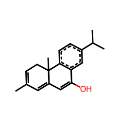 CC1=CCC2(C)C(=C1)C=C(O)c1cc(C(C)C)ccc12